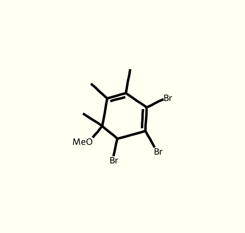 COC1(C)C(C)=C(C)C(Br)=C(Br)C1Br